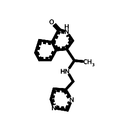 CC(NCc1ccncn1)c1c[nH]c(=O)c2ccccc12